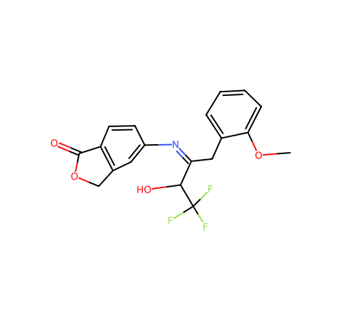 COc1ccccc1CC(=Nc1ccc2c(c1)COC2=O)C(O)C(F)(F)F